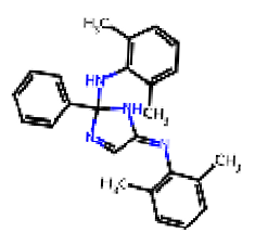 Cc1cccc(C)c1N=C1C=NC(Nc2c(C)cccc2C)(c2ccccc2)N1